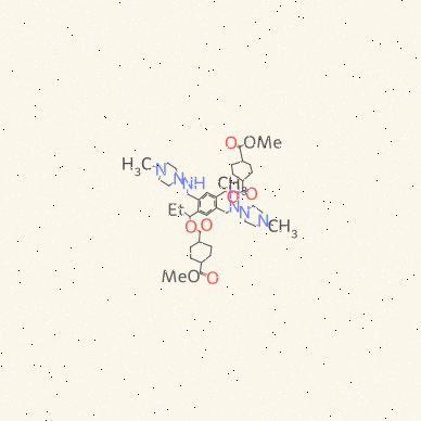 CCC(OC(=O)C1CCC(C(=O)OC)CC1)c1cc(CNN2CCN(C)CC2)c(C(C)OC(=O)C2CCC(C(=O)OC)CC2)cc1CNN1CCN(C)CC1